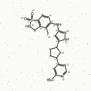 CC(C)(C)c1cc(C2CCC(c3cc(Nc4ccc5c(c4F)CNS5(=O)=O)n[nH]3)C2)ncn1